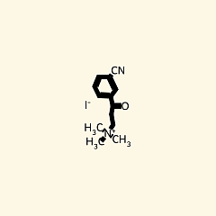 C[N+](C)(C)CCC(=O)c1cccc(C#N)c1.[I-]